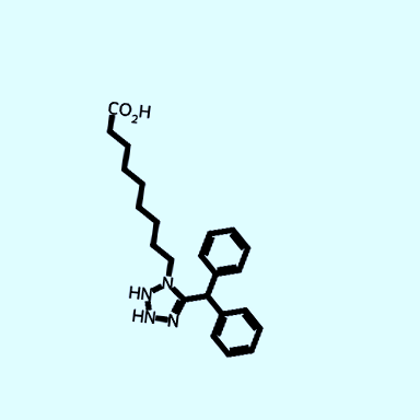 O=C(O)CCCCCCCCN1NNN=C1C(c1ccccc1)c1ccccc1